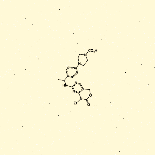 CCN1C(=O)OCc2cnc(NC(C)c3ccc(N4CCN(C(=O)O)CC4)cc3)nc21